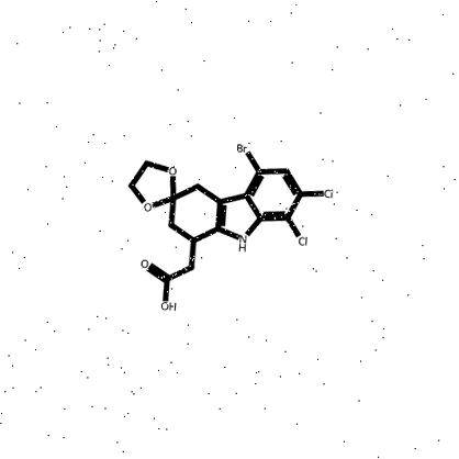 O=C(O)CC1CC2(Cc3c1[nH]c1c(Cl)c(Cl)cc(Br)c31)OCCO2